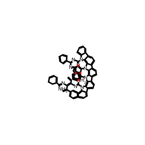 C=CC(/N=C(\N)n1c2ccccc2c2ccc3c4ccc5c6ccc7c8ccccc8n(-c8nc(-c9ccccc9)nc(-c9ccccc9)n8)c7c6n(-c6ccccc6)c5c4n(-c4ccccc4)c3c21)=C(\N=C(/N)C1=CC=CCC1)C(=C)c1ccccc1